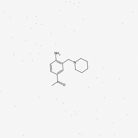 CC(=O)c1ccc(N)c(CN2CCCCC2)c1